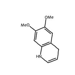 COc1cc2c(cc1OC)NC=CC2